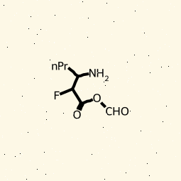 CCCC(N)C(F)C(=O)OC=O